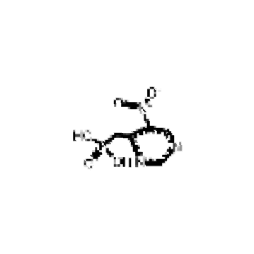 O=[N+]([O-])c1cncnc1CP(=O)(O)O